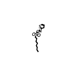 CCCCCCCCS(=O)(=O)ON=C1CC=CS1